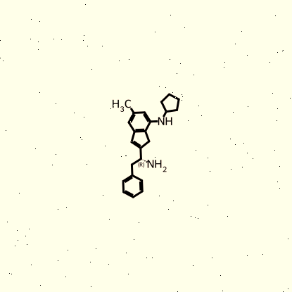 Cc1cc2c(c(NC3CCCC3)c1)CC([C@H](N)Cc1ccccc1)=C2